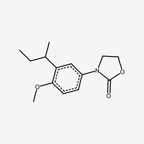 CCC(C)c1cc(N2CCOC2=O)ccc1OC